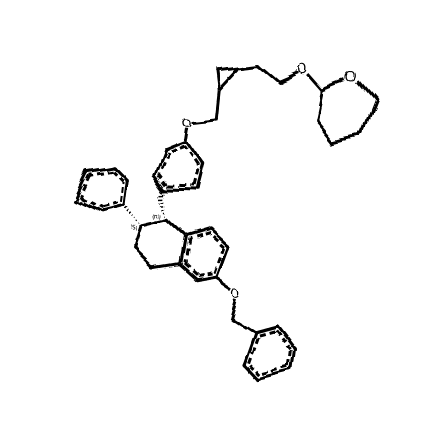 c1ccc(COc2ccc3c(c2)CC[C@H](c2ccccc2)[C@@H]3c2ccc(OCC3CC3CCOC3CCCCO3)cc2)cc1